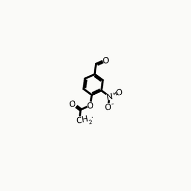 [CH2]C(=O)Oc1ccc(C=O)cc1[N+](=O)[O-]